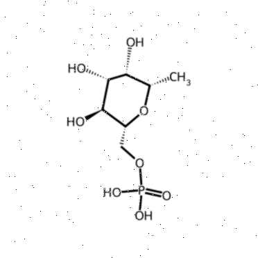 C[C@@H]1O[C@H](COP(=O)(O)O)[C@@H](O)[C@H](O)[C@@H]1O